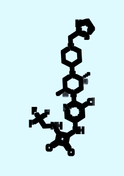 C[C@@H]1CN(c2ncc(Nc3c(NCC(F)(F)F)c(=O)c3=O)cc2Cl)[C@@H](C)CN1C1CCN(Cc2nccs2)CC1